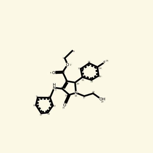 CCOC(=O)C1=C(Nc2ccccc2)C(=O)N(CCO)C1c1ccc(F)cc1